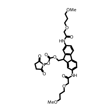 COCCCOCC(=O)Nc1ccc2c(c1)C(COC(=O)ON1C(=O)CCC1=O)c1cc(NC(=O)COCCCOC)ccc1-2